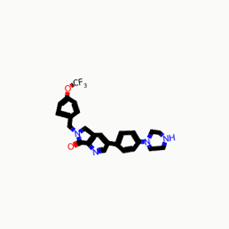 O=C1c2ncc(-c3ccc(N4CCNCC4)cc3)cc2CN1Cc1ccc(OC(F)(F)F)cc1